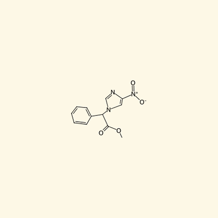 COC(=O)C(c1ccccc1)n1cnc([N+](=O)[O-])c1